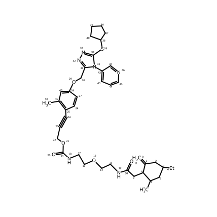 C=C1CC(CC)CC(C)C1CC(=O)NCCOCCNC(=O)OCC#Cc1ccc(OCc2nnc(SC3CCCC3)n2-c2cccnc2)cc1C